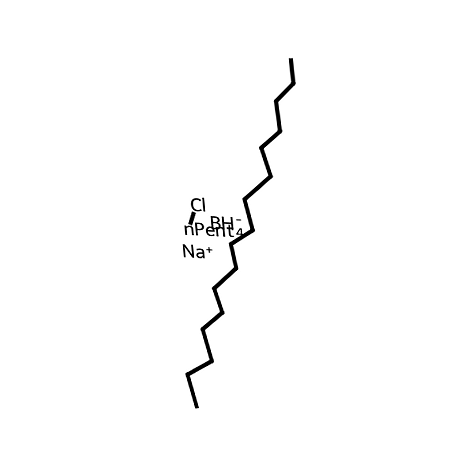 CCCCCCCCCCCCCCCC.CCCCCCl.[BH4-].[Na+]